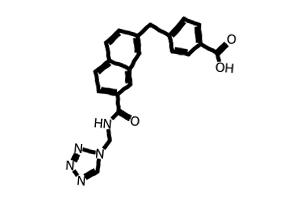 O=C(O)c1ccc(Cc2ccc3ccc(C(=O)NCn4cnnn4)cc3c2)cc1